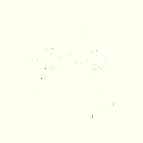 CCOc1ncnc(OCCN(C)C)c1C(=O)Nc1ccc(Cl)c(C(F)(F)F)c1